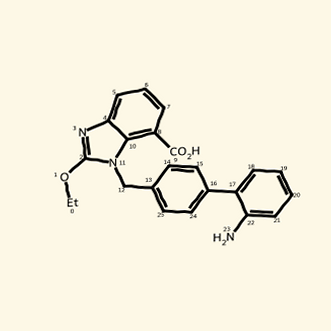 CCOc1nc2cccc(C(=O)O)c2n1Cc1ccc(-c2ccccc2N)cc1